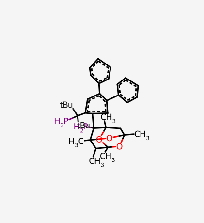 CC1C2(C)OC3(C)CC(C)(O2)C(P)(c2cc(-c4ccccc4)c(-c4ccccc4)cc2C(P)(C(C)(C)C)C(C)(C)C)C1(C)O3